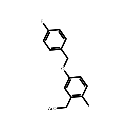 CC(=O)OCc1cc(OCc2ccc(F)cc2)ccc1I